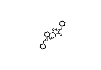 NC[C@H](C(=O)OCc1ccccc1)C(O)c1cccc(OCc2ccccc2)c1